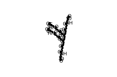 CS(=O)(=O)SCCNC(=O)CCCC(=O)COCC(COCC(COCC(=O)CCCC(=O)NCCSS(C)(=O)=O)OCOC(=O)CCCC(=O)NCCSS(C)(=O)=O)OCOC(=O)CCCC(=O)NCCSS(C)(=O)=O